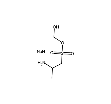 CC(N)CS(=O)(=O)OCO.[NaH]